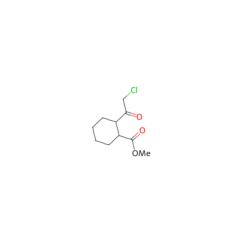 COC(=O)C1CCCCC1C(=O)CCl